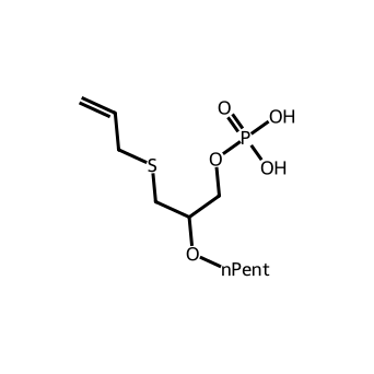 C=CCSCC(COP(=O)(O)O)OCCCCC